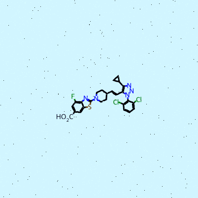 O=C(O)c1cc(F)c2nc(N3CCC(C=Cc4c(C5CC5)nnn4-c4c(Cl)cccc4Cl)CC3)sc2c1